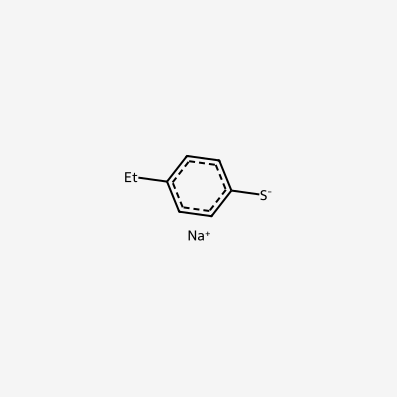 CCc1ccc([S-])cc1.[Na+]